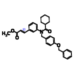 COC(=O)/C=C/c1cccc(N(Cc2ccc(OCc3ccccc3)cc2)C(=O)C2CCCCC2)c1